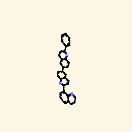 c1ccc(-c2ccc3cc(-c4ccc5nc(-c6cccc7cccnc67)ccc5c4)ccc3n2)cc1